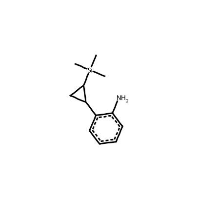 C[Si](C)(C)C1CC1c1ccccc1N